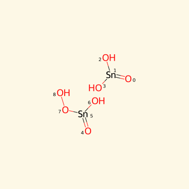 [O]=[Sn]([OH])[OH].[O]=[Sn]([OH])[O]O